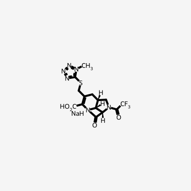 Cn1nnnc1SCC1=C(C(=O)O)N2C(=O)[C@@H]3[C@H]2[C@H](C1)CN3C(=O)C(F)(F)F.[NaH]